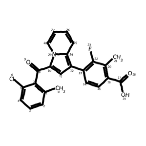 Cc1cccc(Cl)c1C(=O)c1cc(-c2ccc(C(=O)O)c(C)c2F)c2ccccn12